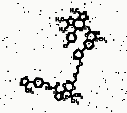 Cc1ncsc1-c1ccc(CNC(=O)[C@@H]2CCCN2C(=O)C(OC(=O)COCCOc2cc(-c3ccc([C@@H](C)NC(=O)C[C@@H]4N=C(c5ccc(Cl)cc5)c5c(sc(C)c5C)-n5c(C)nnc54)cc3)ccn2)C(C)(C)C)cc1